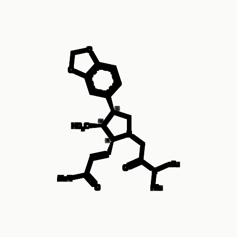 CCCCN(CCCC)C(=O)CN1C[C@H](c2ccc3c(c2)OCO3)[C@H](C(=O)O)[C@H]1C=CC(=O)NC